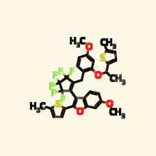 COc1ccc(CC2=C(c3c(-c4ccc(C)s4)oc4cc(OC)ccc34)C(F)(F)C(F)(F)C2(F)F)c(OC(C)c2ccc(C)s2)c1